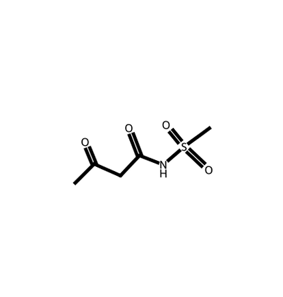 CC(=O)CC(=O)NS(C)(=O)=O